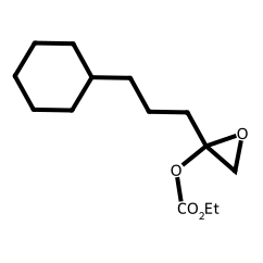 CCOC(=O)OC1(CCCC2CCCCC2)CO1